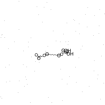 O=C(O)/C=C(\C(=O)O)c1ccc(OCCCCCCCCOc2ccc(C=CC(=O)c3ccccc3)cc2)cc1